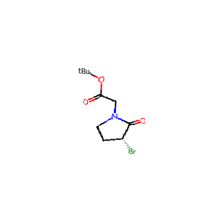 CC(C)(C)OC(=O)CN1CC[C@@H](Br)C1=O